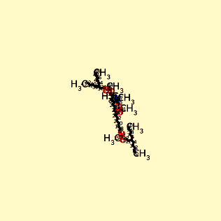 CCCCCC(CCCCC)CCOC(C)OCCCCCCCC(CCCCCCCOC(C)OCCC(CCCCC)CCCCC)OC(C)OCCN(C)C